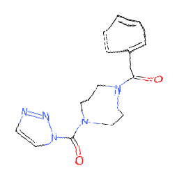 O=C(c1ccccc1)N1CCN(C(=O)n2ccnn2)CC1